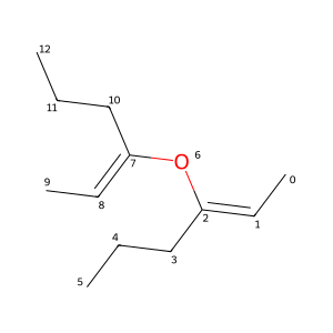 CC=C(CCC)OC(=CC)CCC